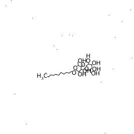 CCCCCCCCCCCO[C@@H]1OC(CO)[C@@H](O[C@H]2OC(CO)[C@@H](O)[C@H](O)C2O)C(O)[C@@H]1O